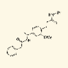 COc1cc(C(C)NC(=O)Cc2ccccc2)ccc1CCC(=O)NC(C)C